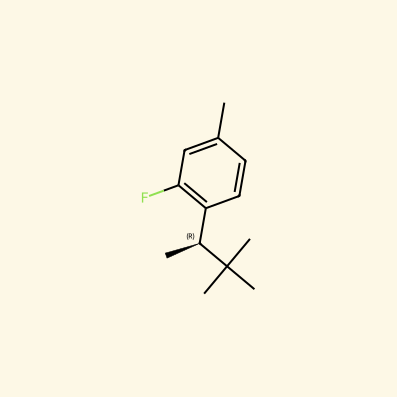 Cc1ccc([C@H](C)C(C)(C)C)c(F)c1